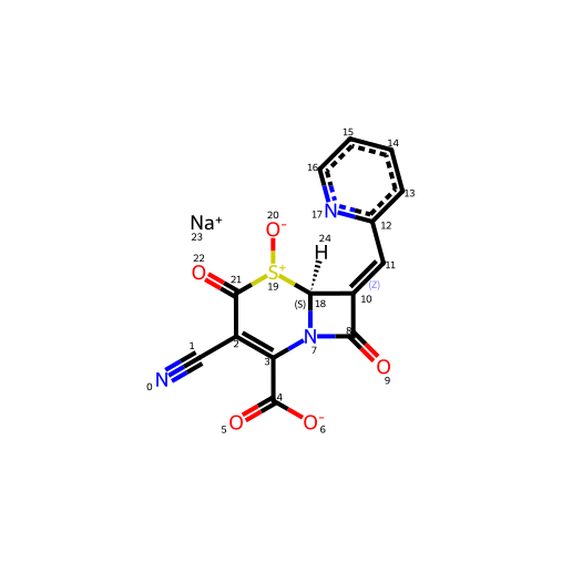 N#CC1=C(C(=O)[O-])N2C(=O)/C(=C/c3ccccn3)[C@@H]2[S+]([O-])C1=O.[Na+]